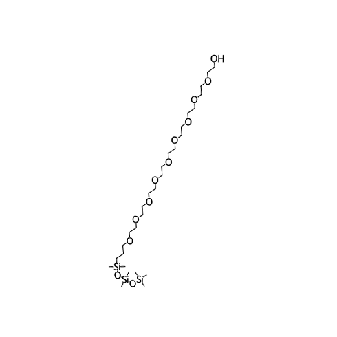 C[Si](C)(C)O[Si](C)(C)O[Si](C)(C)CCCOCCOCCOCCOCCOCCOCCOCCOCCOCCO